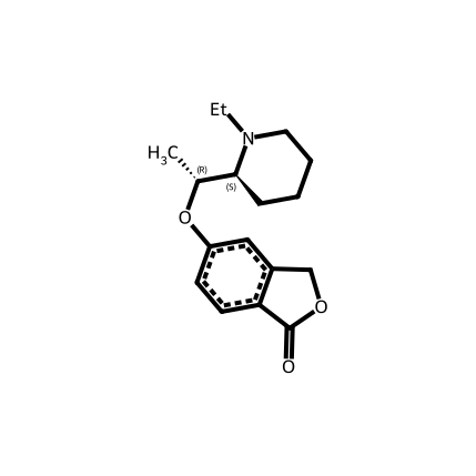 CCN1CCCC[C@H]1[C@@H](C)Oc1ccc2c(c1)COC2=O